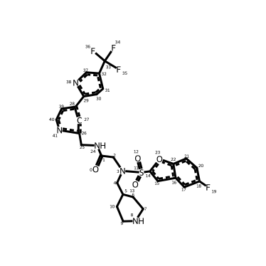 O=C(CN(CC1CCNCC1)S(=O)(=O)c1cc2cc(F)ccc2o1)NCc1cc(-c2ccc(C(F)(F)F)cn2)ccn1